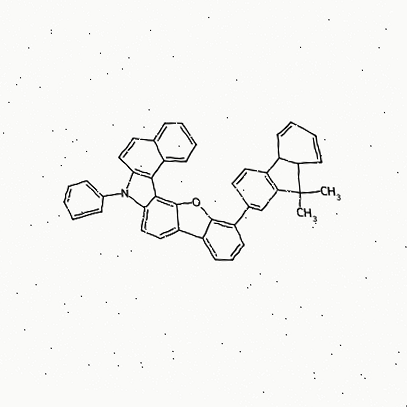 CC1(C)c2cc(-c3cccc4c3oc3c4ccc4c3c3c5ccccc5ccc3n4-c3ccccc3)ccc2C2C=CC=CC21